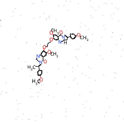 CC/C(=C\N1CC=Nc2cc(OCCCOc3cc4c(cc3OC)C(=O)N3C=C(c5ccc(OC)cc5)C[C@@H]3C=N4)c(OC)cc2C1=O)c1ccc(OC)cc1